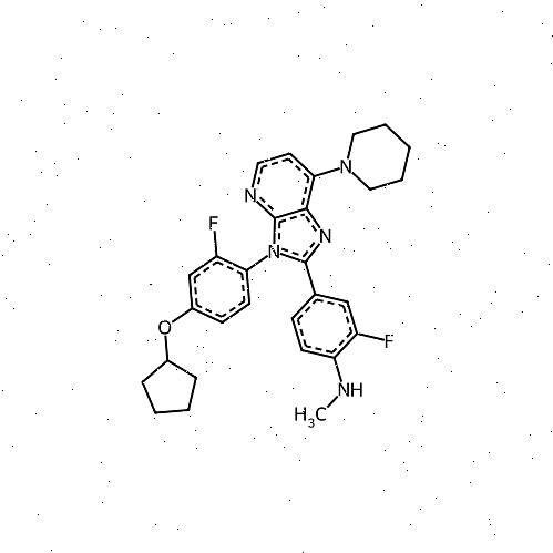 CNc1ccc(-c2nc3c(N4CCCCC4)ccnc3n2-c2ccc(OC3CCCC3)cc2F)cc1F